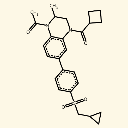 CC(=O)N1c2ccc(-c3ccc(S(=O)(=O)CC4CC4)cc3)cc2N(C(=O)C2CCC2)CC1C